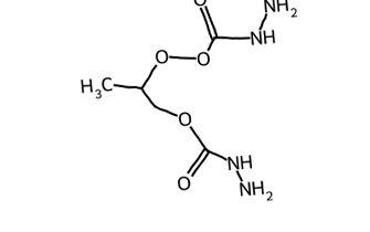 CC(COC(=O)NN)OOC(=O)NN